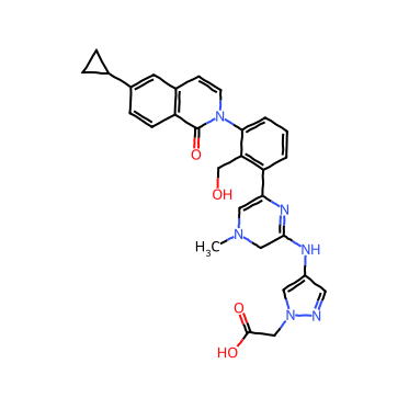 CN1C=C(c2cccc(-n3ccc4cc(C5CC5)ccc4c3=O)c2CO)N=C(Nc2cnn(CC(=O)O)c2)C1